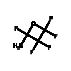 NC1(F)OC(F)(F)C1(F)F